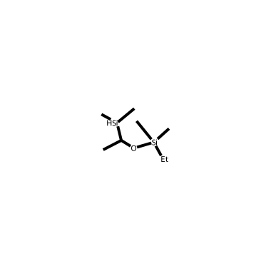 CC[Si](C)(C)OC(C)[SiH](C)C